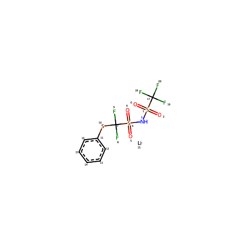 O=S(=O)(NS(=O)(=O)C(F)(F)Sc1ccccc1)C(F)(F)F.[Li]